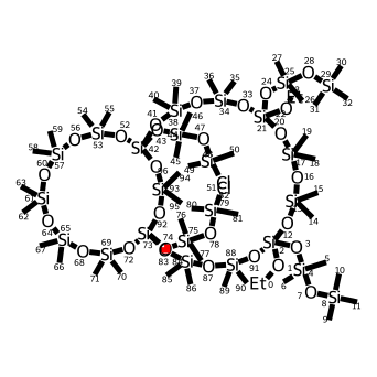 CCO[Si]1(O[Si](C)(C)O[Si](C)(C)C)O[Si](C)(C)O[Si](C)(C)O[Si](OCC)(O[Si](C)(C)O[Si](C)(C)C)O[Si](C)(C)O[Si](C)(C)O[Si]2(O[Si](C)(C)O[Si](C)(C)Cl)O[Si](C)(C)O[Si](C)(C)O[Si](C)(C)O[Si](C)(C)O[Si](C)(C)O[Si](O[Si](C)(C)O[Si](C)(C)Cl)(O[Si](C)(C)O[Si](C)(C)O1)O[Si](C)(C)O2